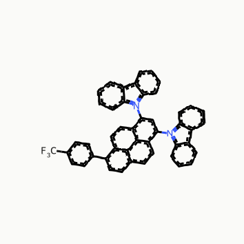 FC(F)(F)c1ccc(-c2ccc3ccc4c(-n5c6ccccc6c6ccccc65)cc(-n5c6ccccc6c6ccccc65)c5ccc2c3c45)cc1